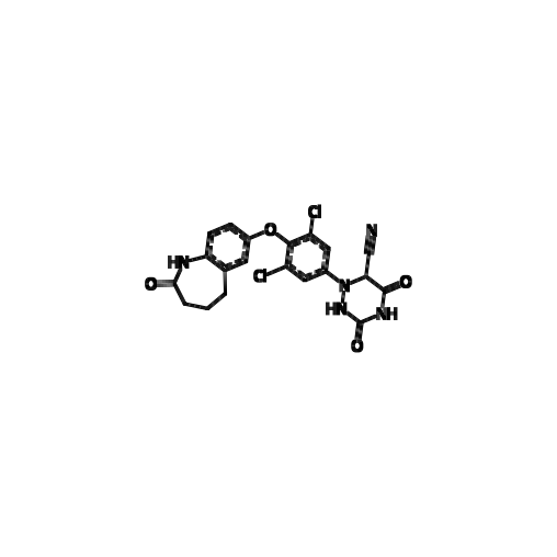 N#CC1C(=O)NC(=O)NN1c1cc(Cl)c(Oc2ccc3c(c2)CCCC(=O)N3)c(Cl)c1